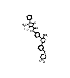 Cc1c(C(=O)Nc2ccc(-c3nc(-c4cccc(CN5CCS(=O)(=O)CC5)c4)cnc3N)cc2)c(=O)n(-c2ccccc2)n1C